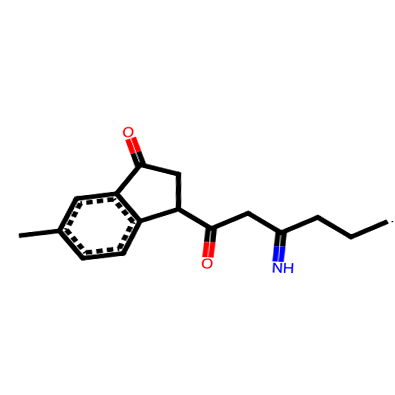 [CH2]CCC(=N)CC(=O)C1CC(=O)c2cc(C)ccc21